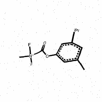 Cc1cc(OC(=O)[N+](C)(F)F)cc(C(C)C)c1